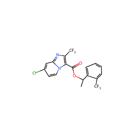 CC(OC(=O)c1c(C(F)(F)F)nc2cc(Cl)ccn12)c1ccccc1C(F)(F)F